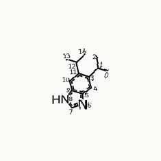 CC(C)c1cc2nc[nH]c2cc1C(C)C